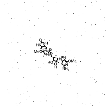 COC(=O)[C@@H](C)NP(=O)(OC[C@H]1O[C@@H](n2cnc3c(OC)nc(N)nc32)[C@](C)(O)[C@@H]1O)SCC1NC(=O)NC1=O